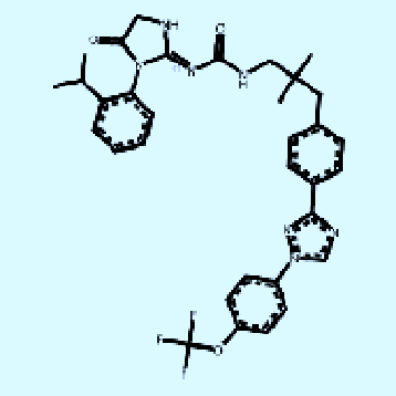 CC(C)c1ccccc1N1C(=O)CN/C1=N\C(=O)NCC(C)(C)Cc1ccc(-c2ncn(-c3ccc(OC(F)(F)F)cc3)n2)cc1